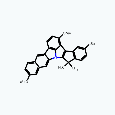 COc1ccc2cc3c4ccc(OC)c5c6c(n(c3cc2c1)c54)C(C)(C)c1ccc(C(C)(C)C)cc1-6